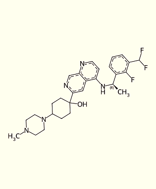 C[C@@H](Nc1ccnc2cnc(C3(O)CCC(N4CCN(C)CC4)CC3)cc12)c1cccc(C(F)F)c1F